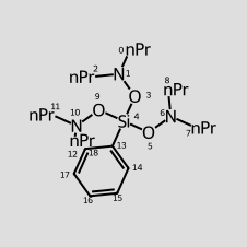 CCCN(CCC)O[Si](ON(CCC)CCC)(ON(CCC)CCC)c1ccccc1